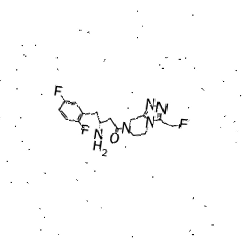 N[C@@H](CC(=O)N1CCn2c(CF)nnc2C1)Cc1cc(F)ccc1F